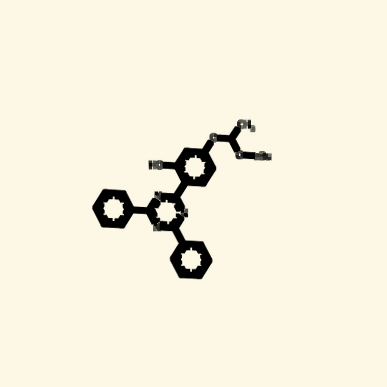 CCCCOC(C)Oc1ccc(-c2nc(-c3ccccc3)nc(-c3ccccc3)n2)c(O)c1